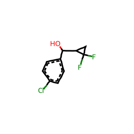 OC(c1ccc(Cl)cc1)C1CC1(F)F